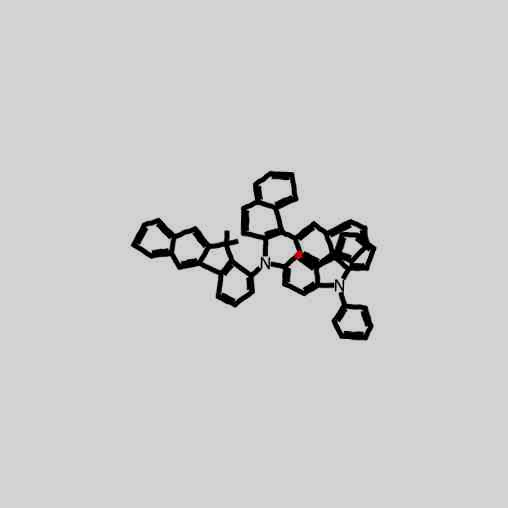 CC1(C)c2cc3ccccc3cc2-c2cccc(N(c3ccc4c(c3)c3ccccc3n4-c3ccccc3)c3ccc4ccccc4c3-c3ccc4ccccc4c3)c21